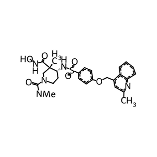 CNC(=O)N1CC[C@@H](NS(=O)(=O)c2ccc(OCc3cc(C)nc4ccccc34)cc2)[C@@](C)(C(=O)NO)C1